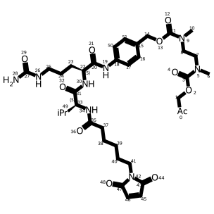 CC(=O)COC(=O)N(C)CCN(C)C(=O)OCc1ccc(NC(=O)[C@H](CCCNC(N)=O)NC(=O)[C@@H](NC(=O)CCCCCN2C(=O)C=CC2=O)C(C)C)cc1